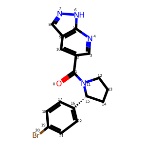 O=C(c1cnc2[nH]ncc2c1)N1CCC[C@@H]1c1ccc(Br)cc1